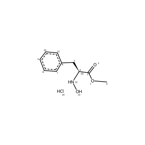 COC(=O)[C@H](Cc1ccccc1)NO.Cl